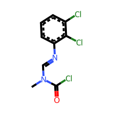 CN(C=Nc1cccc(Cl)c1Cl)C(=O)Cl